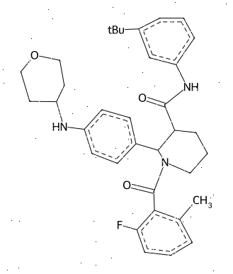 Cc1cccc(F)c1C(=O)N1CCCC(C(=O)Nc2cccc(C(C)(C)C)c2)C1c1ccc(NC2CCOCC2)cc1